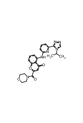 CC(C)n1cnnc1-c1cccc(Nc2cccc3oc(C(=O)N4CCOCC4)cc(=O)c23)n1